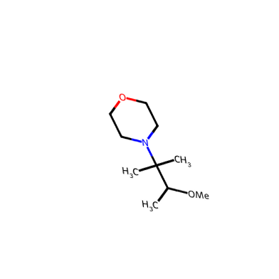 COC(C)C(C)(C)N1CCOCC1